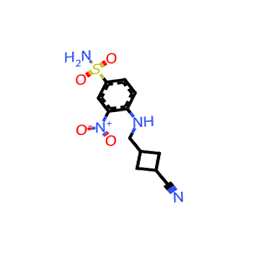 N#CC1CC(CNc2ccc(S(N)(=O)=O)cc2[N+](=O)[O-])C1